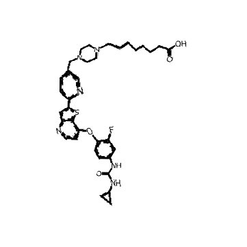 O=C(O)CCCCCCCN1CCN(Cc2ccc(-c3cc4nccc(Oc5ccc(NC(=O)NC6CC6)cc5F)c4s3)nc2)CC1